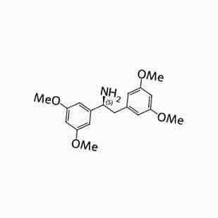 COc1cc(C[C@H](N)c2cc(OC)cc(OC)c2)cc(OC)c1